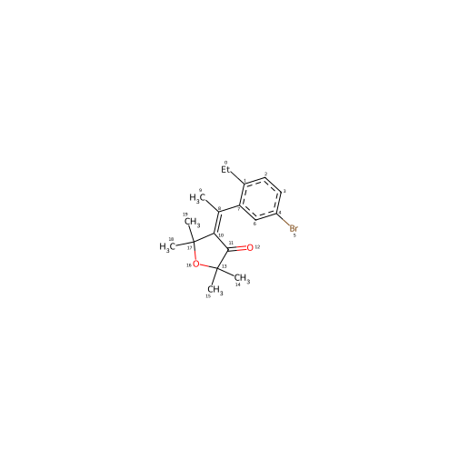 CCc1ccc(Br)cc1/C(C)=C1\C(=O)C(C)(C)OC1(C)C